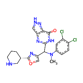 CN(c1ccc(Cl)c(Cl)c1)C(c1coc([C@H]2CCCNC2)n1)c1nc2c[nH]nc2c(=O)[nH]1